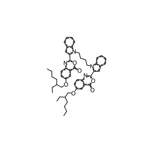 CCCCC(CC)COc1ccc2nc(-c3cc4ccccc4n3CCCCn3c(-c4nc5ccc(OCC(CC)CCCC)cc5c(=O)o4)cc4ccccc43)oc(=O)c2c1